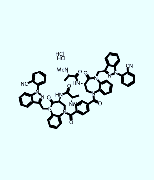 CN[C@@H](C)C(=O)N[C@H]1CN(C(=O)c2ccc(C(=O)N3C[C@H](NC(=O)[C@H](C)NC)C(=O)N(Cc4nn(-c5ccccc5C#N)c5ccccc45)c4ccccc43)cc2)c2ccccc2N(Cc2nn(-c3ccccc3C#N)c3ccccc23)C1=O.Cl.Cl